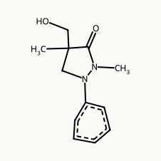 CN1C(=O)C(C)(CO)CN1c1ccccc1